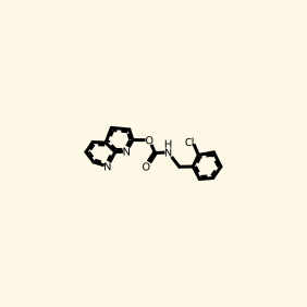 O=C(NCc1ccccc1Cl)Oc1ccc2cccnc2n1